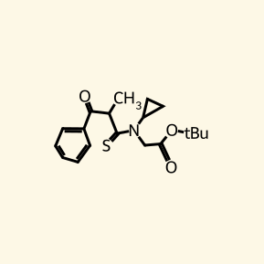 CC(C(=O)c1ccccc1)C(=S)N(CC(=O)OC(C)(C)C)C1CC1